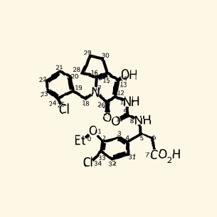 CCOc1cc([C@H](CC(=O)O)NC(=O)Nc2c(O)c3c(n(Cc4ccccc4Cl)c2=O)CCC3)ccc1Cl